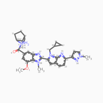 COc1cc(C(=O)N2CC3CCC2[C@@H]3N)cc2nc(-c3cc4ccc(-c5ccn(C)n5)nc4n3CC3CC3)n(C)c12